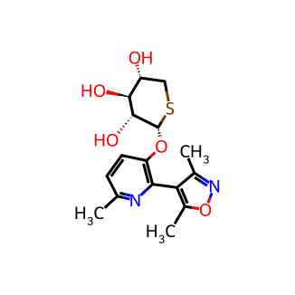 Cc1ccc(O[C@H]2SC[C@@H](O)[C@H](O)[C@H]2O)c(-c2c(C)noc2C)n1